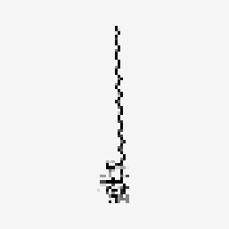 CCCCCCCCCCCCCCCCCCC(=O)OC(CF)C(F)(F)S(=O)(=O)O